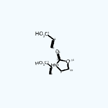 C=CC(=O)O.C=CC(=O)O.O=C1NCCO1